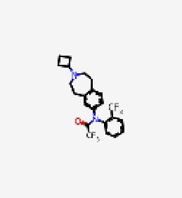 O=C(N(c1ccc2c(c1)CCN(C1CCC1)CC2)c1ccccc1C(F)(F)F)C(F)(F)F